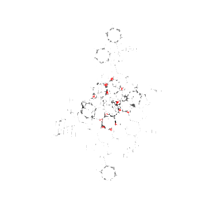 C[C@@H]1C(N=[N+]=[N-])[C@H](O[C@@H]2C(CO)O[C@@H](O[C@@H]3C(CO[Si](c4ccccc4)(c4ccccc4)C(C)(C)C)O[C@H](C)C(N=[N+]=[N-])[C@H]3PBB=O)[C@@H](C)C2OCc2ccccc2)OC(CO[Si](c2ccccc2)(c2ccccc2)C(C)(C)C)[C@H]1O[C@@H]1OC(CO)[C@@H](O[C@@H]2OC(CO[Si](c3ccccc3)(c3ccccc3)C(C)(C)C)[C@@H](C)[C@H](PBB=O)C2N=[N+]=[N-])[C@H](C)C1OC(=O)c1ccccc1